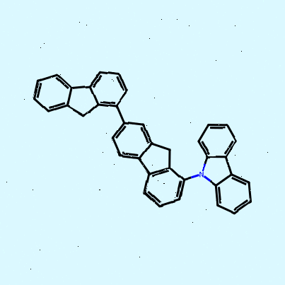 c1ccc2c(c1)Cc1c(-c3ccc4c(c3)Cc3c-4cccc3-n3c4ccccc4c4ccccc43)cccc1-2